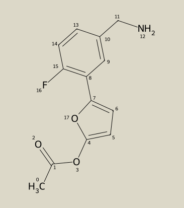 CC(=O)Oc1ccc(-c2cc(CN)ccc2F)o1